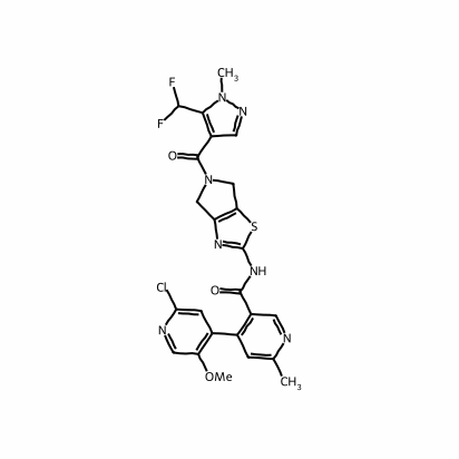 COc1cnc(Cl)cc1-c1cc(C)ncc1C(=O)Nc1nc2c(s1)CN(C(=O)c1cnn(C)c1C(F)F)C2